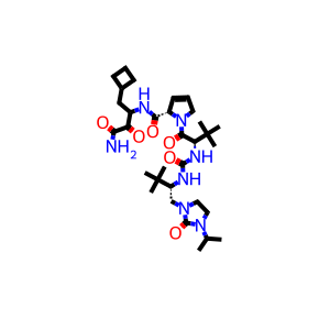 CC(C)N1CCN(C[C@@H](NC(=O)N[C@H](C(=O)N2CC=C[C@H]2C(=O)NC(CC2CCC2)C(=O)C(N)=O)C(C)(C)C)C(C)(C)C)C1=O